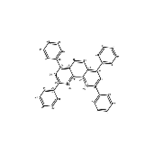 c1ccc(-c2cc(-c3ccccc3)c3ccc4c(-c5ccccc5)nc(-c5ccccc5)nc4c3n2)cc1